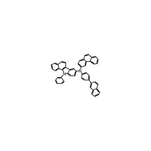 c1ccc(-n2c3ccc(N(c4ccc(-c5ccc6ccccc6c5)cc4)c4ccc5ccc6ccccc6c5c4)cc3c3ccc4ccccc4c32)cc1